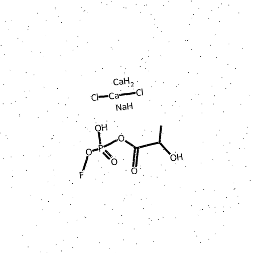 CC(O)C(=O)OP(=O)(O)OF.[CaH2].[Cl][Ca][Cl].[NaH]